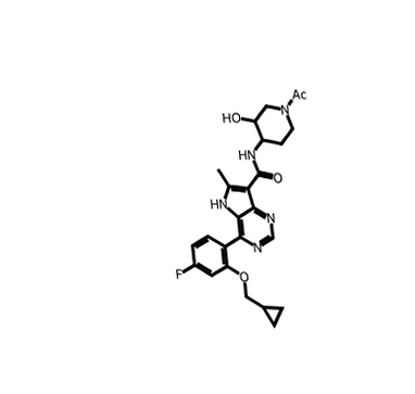 CC(=O)N1CCC(NC(=O)c2c(C)[nH]c3c(-c4ccc(F)cc4OCC4CC4)ncnc23)C(O)C1